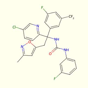 Cc1cc(CC(NC(=O)Nc2cccc(F)c2)(c2cc(F)cc(C(F)(F)F)c2)c2ccc(Cl)cn2)on1